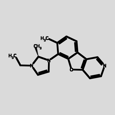 CCN1C=CN(c2c(C)ccc3c2oc2ccncc23)[C@H]1C